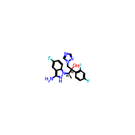 C[C@@H](N1NC(N)=C2C=C(F)C=CC21)[C@](O)(Cn1cncn1)c1ccc(F)cc1F